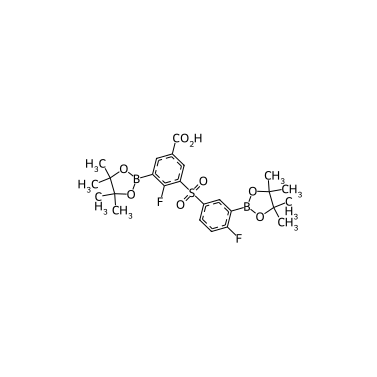 CC1(C)OB(c2cc(S(=O)(=O)c3cc(C(=O)O)cc(B4OC(C)(C)C(C)(C)O4)c3F)ccc2F)OC1(C)C